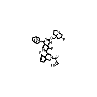 O=C([C@H]1CN1)N1C=C(c2ncc3c(N4CC5CCC(C4)N5)nc(OC[C@@]45CCCN4C[C@H](F)C5)nc3c2F)c2c(F)cccc2C1